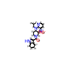 CC(C)CN(c1ncccc1[N+](=O)[O-])C1CCN(C(=O)c2c[nH]c3ccccc23)CC1